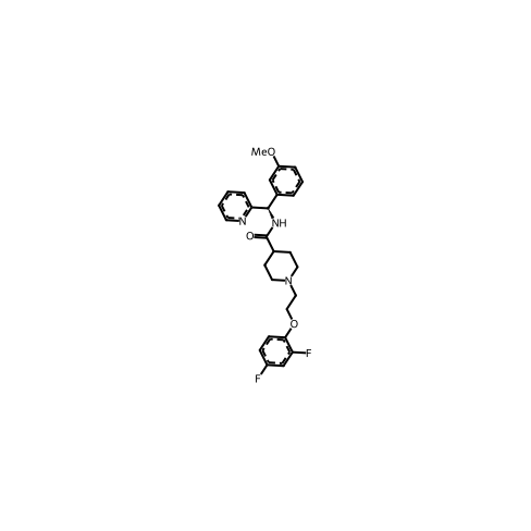 COc1cccc([C@@H](NC(=O)C2CCN(CCOc3ccc(F)cc3F)CC2)c2ccccn2)c1